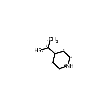 CC(S)C1CCNCC1